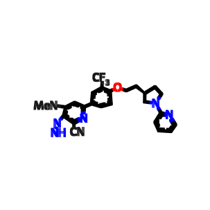 CNc1cc(-c2ccc(OCC[C@H]3CCN(c4ccccn4)C3)c(C(F)(F)F)c2)nc(C#N)c1N=N